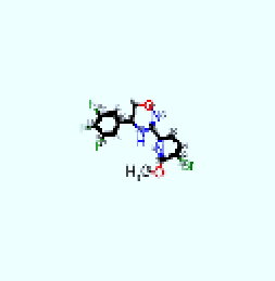 COc1nc(C2=NOCC(c3cc(F)c(F)c(F)c3)N2)ccc1Br